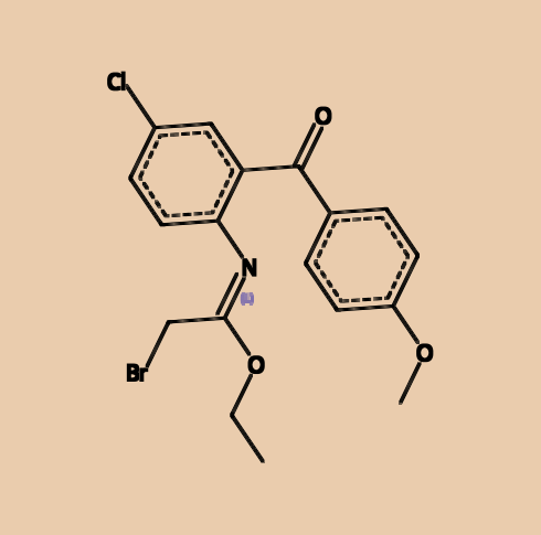 CCO/C(CBr)=N/c1ccc(Cl)cc1C(=O)c1ccc(OC)cc1